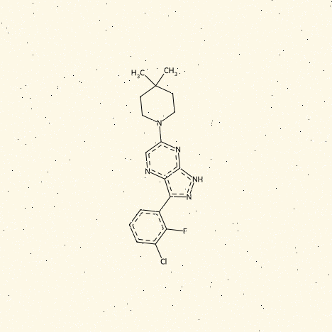 CC1(C)CCN(c2cnc3c(-c4cccc(Cl)c4F)n[nH]c3n2)CC1